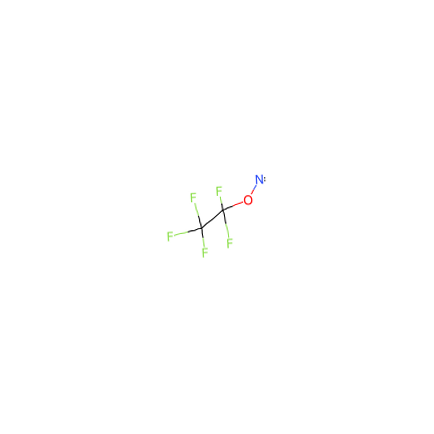 [N]OC(F)(F)C(F)(F)F